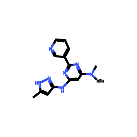 CCCCN(C)c1cc(Nc2cc(C)[nH]n2)nc(-c2cccnc2)n1